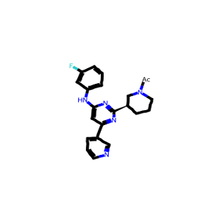 CC(=O)N1CCC[C@@H](c2nc(Nc3cccc(F)c3)cc(-c3cccnc3)n2)C1